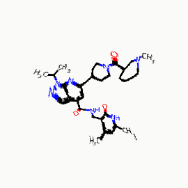 Cc1cc(C)c(CNC(=O)c2cc(C3CCN(C(=O)C4CCCN(C)C4)CC3)nc3c2cnn3C(C)C)c(=O)[nH]1